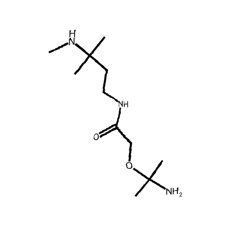 CNC(C)(C)CCNC(=O)COC(C)(C)N